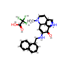 CN1C=Cc2c[nH]c3c2C1C=C(NCc1cccc2ccccc12)C3=O.O=C(O)C(F)(F)F